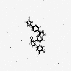 Cc1cc([C@H]2COC(=O)N2c2ccn3ncc(-c4ccc(-c5nc[nH]n5)cc4)c3n2)ncc1F